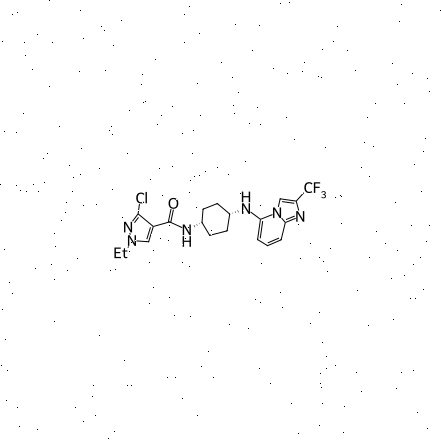 CCn1cc(C(=O)N[C@H]2CC[C@@H](Nc3cccc4nc(C(F)(F)F)cn34)CC2)c(Cl)n1